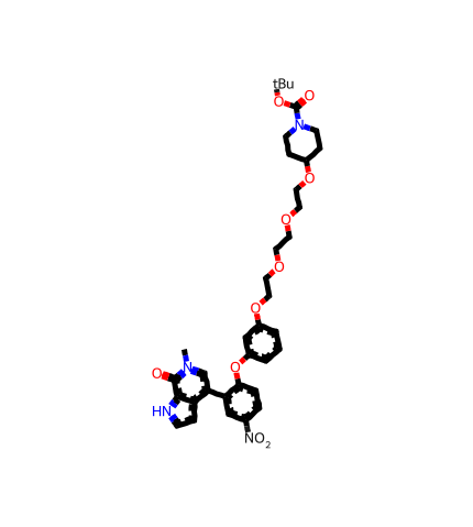 Cn1cc(-c2cc([N+](=O)[O-])ccc2Oc2cccc(OCCOCCOCCOC3CCN(C(=O)OC(C)(C)C)CC3)c2)c2cc[nH]c2c1=O